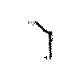 CCCCCCCCCCCCCCCC(=O)OCCN1CCN=C1CCCCCCCCCCCCCCC